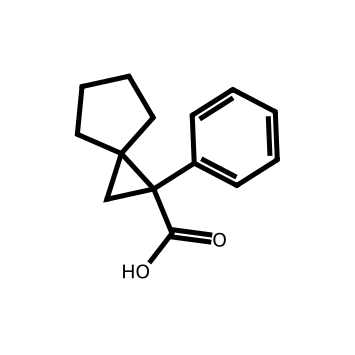 O=C(O)C1(c2ccccc2)CC12CCCC2